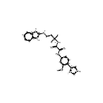 COc1cc(NC(=O)C(=O)NC(C)(C)CCSc2nc3ccccc3s2)ccc1-c1cnco1